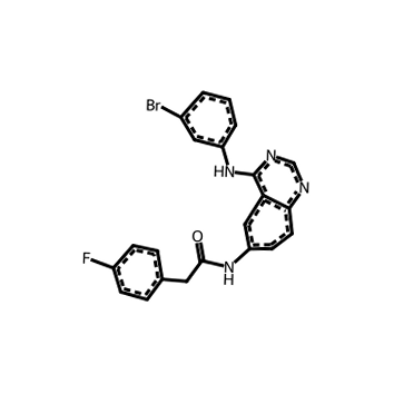 O=C(Cc1ccc(F)cc1)Nc1ccc2ncnc(Nc3cccc(Br)c3)c2c1